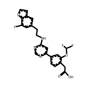 O=C(O)Cc1ccc(-c2cc(NCCc3cc(F)c4sccc4c3)ncn2)cc1OC(F)F